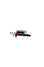 CC(O)C(=O)O.CCCCCCCCCCCCCCCC(N)=O.CCCN(C)C